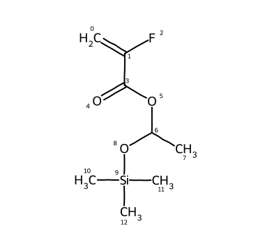 C=C(F)C(=O)OC(C)O[Si](C)(C)C